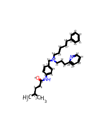 CC(C)CCC(=O)Nc1ccc(CN(CCCCCc2ccccc2)CCCc2ccccn2)cc1